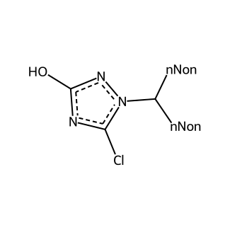 CCCCCCCCCC(CCCCCCCCC)n1nc(O)nc1Cl